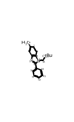 Cc1ccc2c(c1)nc(-c1ccccc1)n2CC(C)(C)C